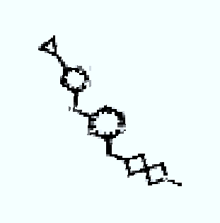 CN1CC2(CC(Cc3nccc(Nc4cc(C5CC5)[nH]n4)n3)C2)C1